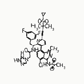 Cn1nc(NS(C)(=O)=O)c2c(Cl)ccc(-c3ccc(C#CC(C)(C)S(=O)(=O)C4CC4)nc3[C@H](Cc3cc(F)cc(F)c3)NC(=O)CN3C=NNN3)c21